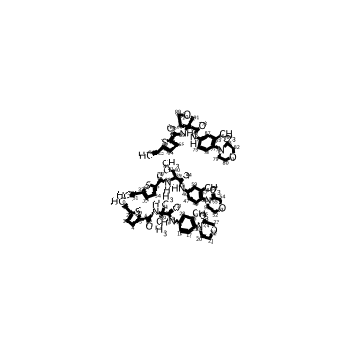 C#Cc1ccc(C(=O)NC(C)(C)C(=O)Nc2ccc(N3CCOCC3=O)c(C)c2)s1.C#Cc1ccc(C(=O)NC(COC)C(=O)Nc2ccc(N3CCOCC3=O)c(C)c2)s1.C#Cc1ccc(C(=O)NC2(C(=O)Nc3ccc(N4CCOCC4=O)c(C)c3)CCOC2)s1